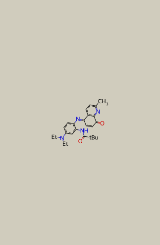 CCN(CC)c1ccc(N=C2C=CC(=O)c3nc(C)ccc32)c(NC(=O)C(C)(C)C)c1